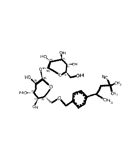 CC(CC(C)(C)C#N)c1ccc(COC[C@H]2O[C@H](O[C@H]3O[C@H](CO)[C@@H](O)[C@H](O)[C@H]3O)[C@H](O)[C@@H](O)[C@@H]2O)cc1